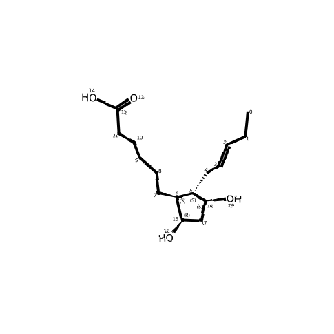 CCC=CC[C@H]1[C@H](CCCCCC(=O)O)[C@H](O)C[C@@H]1O